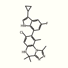 Cc1c(-c2cc(F)cc3c(C4CC4)c[nH]c23)c(Cl)cc2c1-n1c(C)nnc1C(C)(C)N2